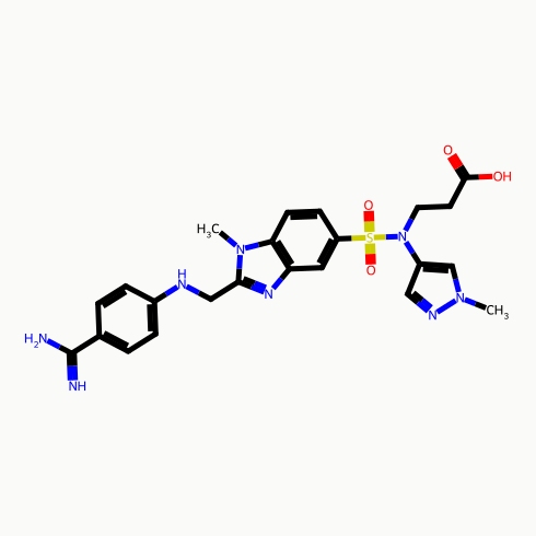 Cn1cc(N(CCC(=O)O)S(=O)(=O)c2ccc3c(c2)nc(CNc2ccc(C(=N)N)cc2)n3C)cn1